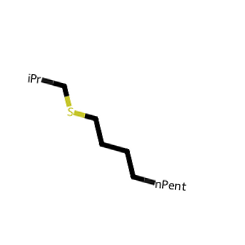 CCCCCCCCCSCC(C)C